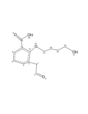 O=CCc1cccc(C(=O)O)c1OCCCCO